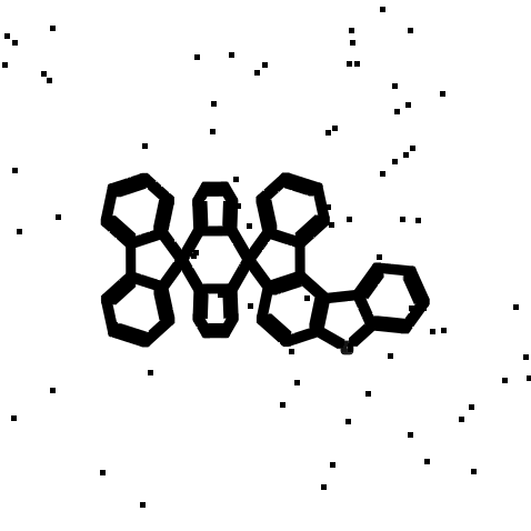 c1ccc2c(c1)-c1ccccc1C21c2ccccc2C2(c3ccccc3-c3c2ccc2oc4ccccc4c32)c2ccccc21